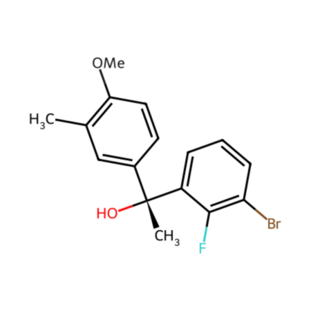 COc1ccc([C@@](C)(O)c2cccc(Br)c2F)cc1C